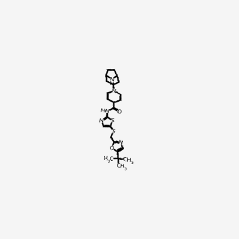 CC(C)(C)c1cnc(CSc2cnc(NC(=O)C3CCN(C4CC5CCC(C4)N5)CC3)s2)o1